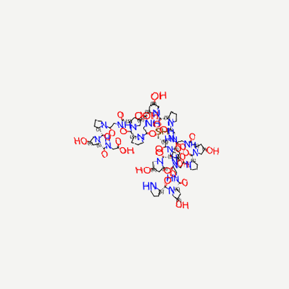 O=C(O)CNC(=O)[C@@H]1C[C@@H](O)CN1C(=O)[C@@H]1CCCN1C(=O)CNC(=O)[C@@H]1C[C@@H](O)CN1C(=O)[C@@H]1CCCN1C(=O)CNC(=O)[C@@H]1C[C@@H](O)CN1C(=O)[C@@H]1CCCN1C(=O)CNC(=O)[C@@H]1C[C@@H](O)CN1C(=O)[C@H](CS)NC(=O)CNC(=O)[C@@H]1C[C@@H](O)CN1C(=O)[C@@H]1CCCN1C(=O)CNC(=O)[C@@H]1C[C@@H](O)CN1C(=O)[C@@H]1CCCN1C(=O)CNC(=O)[C@@H]1C[C@@H](O)CN1C(=O)[C@@H]1CCCN1